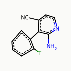 N#Cc1ccnc(N)c1-c1ccccc1F